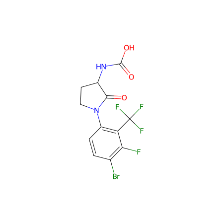 O=C(O)NC1CCN(c2ccc(Br)c(F)c2C(F)(F)F)C1=O